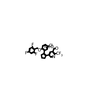 COC(=O)c1cc(C2=C(c3cc(Cl)ccc3OCc3c(F)cc(F)cc3F)CCC2)cnc1C(F)(F)F